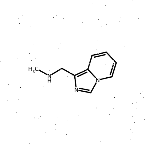 CNCc1ncn2ccccc12